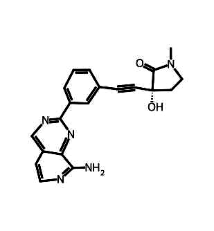 CN1CC[C@@](O)(C#Cc2cccc(-c3ncc4ccnc(N)c4n3)c2)C1=O